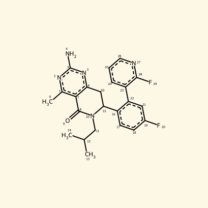 Cc1nc(N)nc2c1C(=O)N(CC(C)C)C(c1ccc(F)cc1-c1cccnc1F)C2